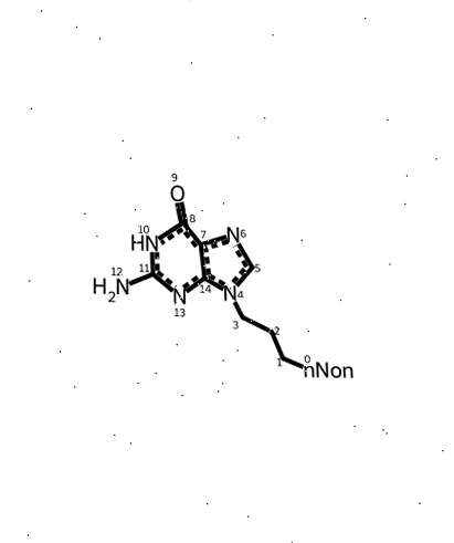 CCCCCCCCCCCCn1cnc2c(=O)[nH]c(N)nc21